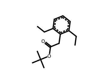 CCc1cccc(CC)c1CC(=O)OC(C)(C)C